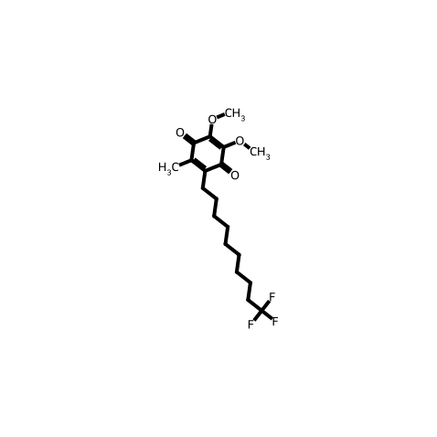 COC1=C(OC)C(=O)C(CCCCCCCCCC(F)(F)F)=C(C)C1=O